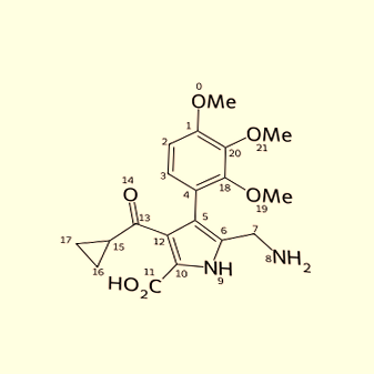 COc1ccc(-c2c(CN)[nH]c(C(=O)O)c2C(=O)C2CC2)c(OC)c1OC